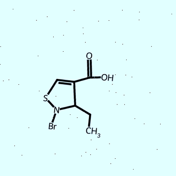 CCC1C(C(=O)O)=CSN1Br